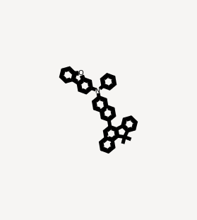 CC1(C)c2ccccc2-c2c(-c3ccc4cc(N(c5ccccc5)c5ccc6c(c5)oc5ccccc56)ccc4c3)cc3ccccc3c21